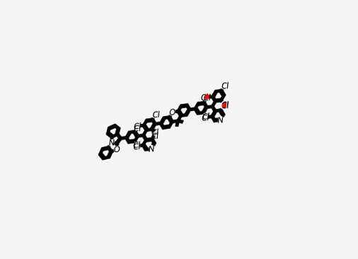 CC1(C)c2ccc(-c3c(Cl)cc(Cl)c(C(c4c(Cl)cncc4Cl)c4c(Cl)cc(-c5c6ccccc6n6c5oc5ccccc56)cc4Cl)c3Cl)cc2Oc2ccc(-c3cc(Cl)c(C(c4c(Cl)cncc4Cl)c4c(Cl)cc(Cl)cc4Cl)c(Cl)c3)cc21